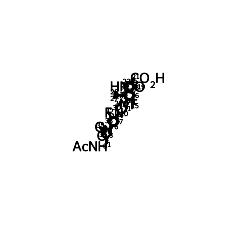 CC(=O)NCC1CN(c2ccc(N3CCN(c4c(F)cc5c(=O)c(C(=O)O)c[nH]c5c4C4CC4)CC3)c(F)c2)C(=O)O1